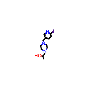 C[C@@H](O)CN1CCN(Cc2ccc(I)nc2)CC1